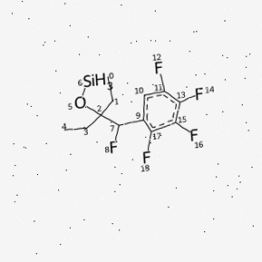 CCC(CC)(O[SiH3])C(F)c1cc(F)c(F)c(F)c1F